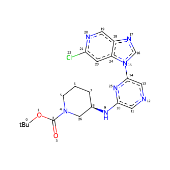 CC(C)(C)OC(=O)N1CCC[C@@H](Nc2cncc(-n3cnc4cnc(Cl)cc43)n2)C1